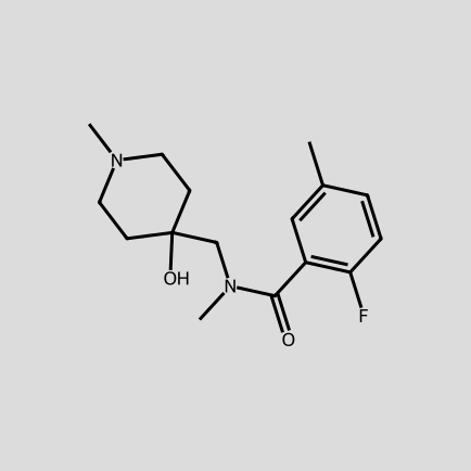 Cc1ccc(F)c(C(=O)N(C)CC2(O)CCN(C)CC2)c1